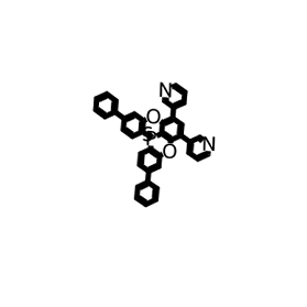 S=P12c3ccc(-c4ccccc4)cc3Oc3c(-c4cccnc4)cc(-c4cccnc4)c(c31)Oc1cc(-c3ccccc3)ccc12